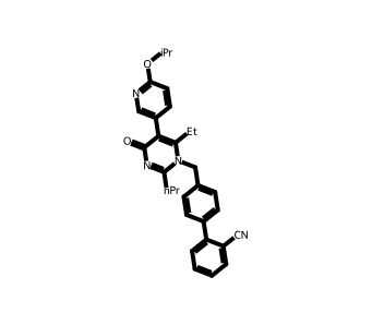 CCCc1nc(=O)c(-c2ccc(OC(C)C)nc2)c(CC)n1Cc1ccc(-c2ccccc2C#N)cc1